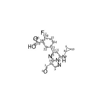 O=Cc1cnn2c(NC3CC3)cc(-c3ccc(F)c(C(=O)O)c3)nc12